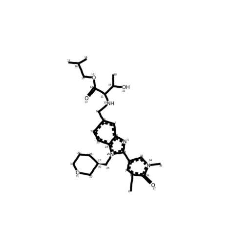 Cc1cc(-c2nc3cc(CNC(C(=O)OCC(C)C)C(C)O)ccc3n2C[C@@H]2CCCOC2)cn(C)c1=O